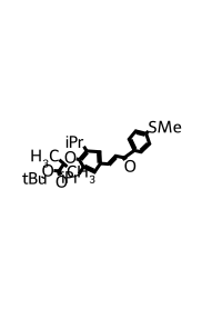 CSc1ccc(C(=O)/C=C/c2cc(C(C)C)c(OC(C)(C)C(=O)OC(C)(C)C)c(C(C)C)c2)cc1